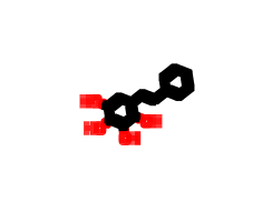 Oc1cc(/C=C/c2ccccc2)c(O)c(O)c1O